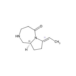 C/C=C1\CC[C@H]2CNCCC(=O)N12